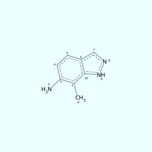 Cc1c(N)ccc2cn[nH]c12